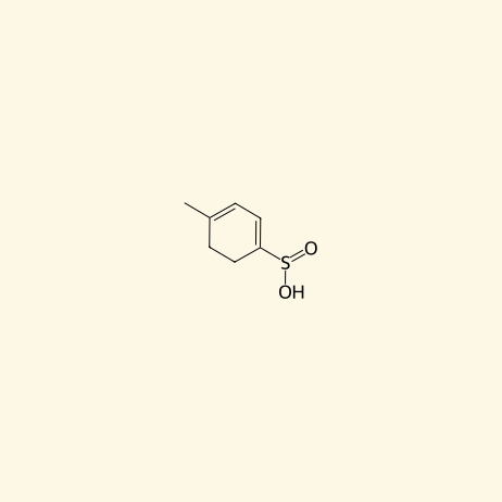 CC1=CC=C(S(=O)O)CC1